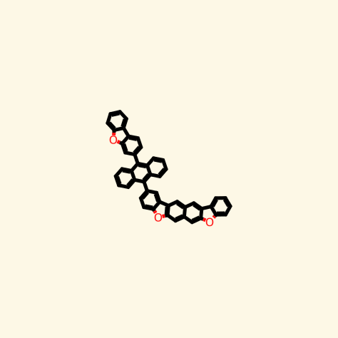 c1ccc2c(c1)oc1cc(-c3c4ccccc4c(-c4ccc5oc6cc7cc8oc9ccccc9c8cc7cc6c5c4)c4ccccc34)ccc12